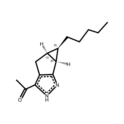 CCCCC[C@@H]1[C@@H]2Cc3c(n[nH]c3C(C)=O)[C@H]12